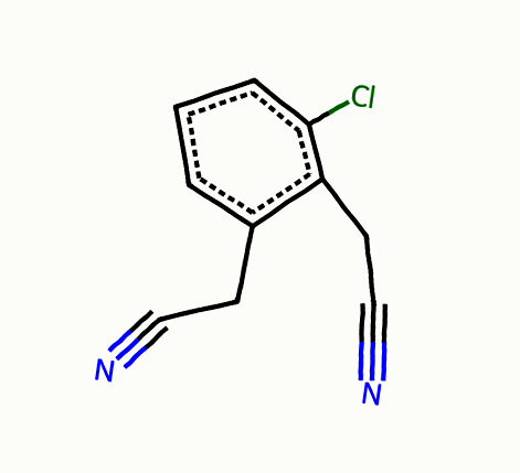 N#CCc1cccc(Cl)c1CC#N